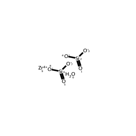 O.O=[Si]([O-])[O-].O=[Si]([O-])[O-].[Zr+4]